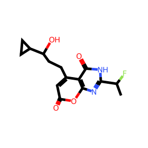 CC(F)c1nc2oc(=O)cc(CCC(O)C3CC3)c2c(=O)[nH]1